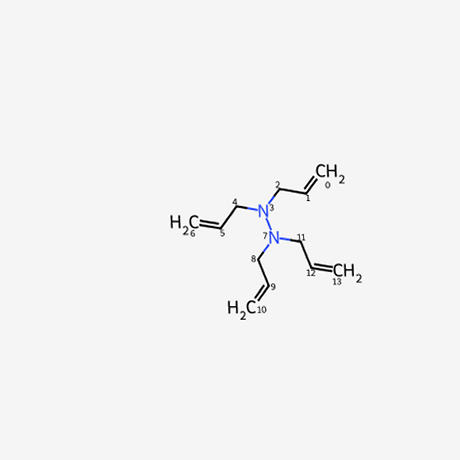 C=CCN(CC=C)N(CC=C)CC=C